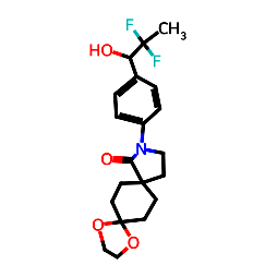 CC(F)(F)C(O)c1ccc(N2CCC3(CCC4(CC3)OCCO4)C2=O)cc1